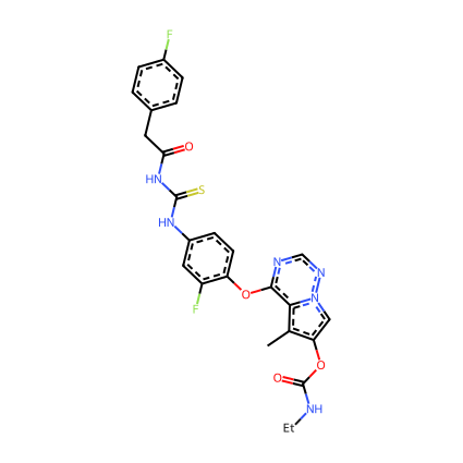 CCNC(=O)Oc1cn2ncnc(Oc3ccc(NC(=S)NC(=O)Cc4ccc(F)cc4)cc3F)c2c1C